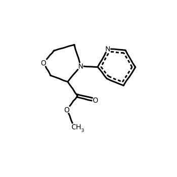 COC(=O)C1COCCN1c1ccccn1